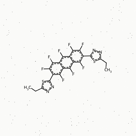 CCc1nnc(-c2c(F)c(F)c3c(F)c4c(F)c(F)c(-c5nnc(CC)s5)c(F)c4c(F)c3c2F)s1